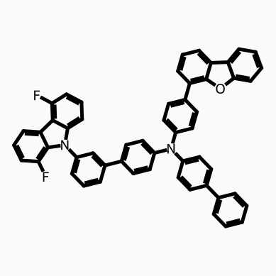 Fc1cccc2c1c1cccc(F)c1n2-c1cccc(-c2ccc(N(c3ccc(-c4ccccc4)cc3)c3ccc(-c4cccc5c4oc4ccccc45)cc3)cc2)c1